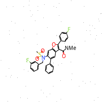 CNC(=O)c1c(-c2ccc(F)cc2)oc2cc(N(Cc3cccc(F)c3)S(C)(=O)=O)c(-c3ccccc3)cc12